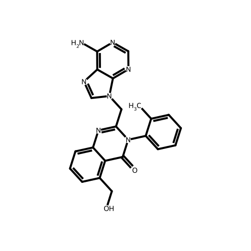 Cc1ccccc1-n1c(Cn2cnc3c(N)ncnc32)nc2cccc(CO)c2c1=O